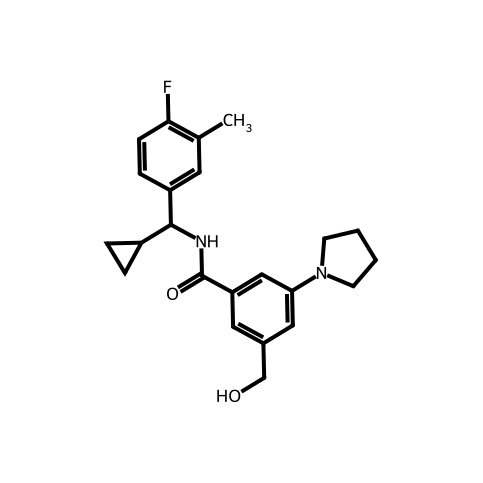 Cc1cc(C(NC(=O)c2cc(CO)cc(N3CCCC3)c2)C2CC2)ccc1F